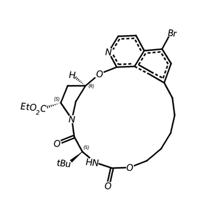 CCOC(=O)[C@@H]1C[C@@H]2CN1C(=O)[C@H](C(C)(C)C)NC(=O)OCCCCCc1cc(Br)c3ccnc(c3c1)O2